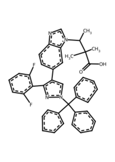 CC(n1cnc2ccc(-c3cn(C(c4ccccc4)(c4ccccc4)c4ccccc4)nc3-c3c(F)cccc3F)cc21)C(C)(C)C(=O)O